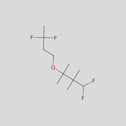 CC(F)(F)CCOC(C)(C)C(C)(C)C(F)F